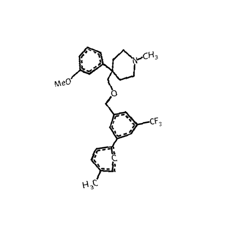 COc1cccc(C2(COCc3cc(-c4ccc(C)cc4)cc(C(F)(F)F)c3)CCN(C)CC2)c1